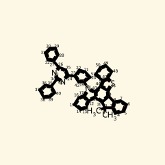 CC1(C)c2ccccc2-c2c1c1c3ccccc3n(-c3cccc(-c4cc(-c5ccccc5)nc(-c5ccccc5)n4)c3)c1c1c2sc2ccccc21